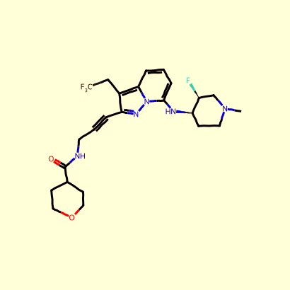 CN1CC[C@@H](Nc2cccc3c(CC(F)(F)F)c(C#CCNC(=O)C4CCOCC4)nn23)[C@@H](F)C1